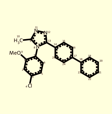 COc1cc(Cl)ccc1-n1c(C)nnc1-c1ccc(-c2ccccc2)cc1